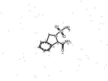 CNS(=O)(=O)N1Cc2ccccc2C1C(N)=O